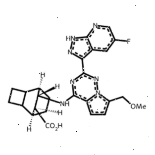 COCc1ccc2c(N[C@@H]3[C@@H](C(=O)O)[C@H]4CC[C@@H]3C3CCC34)nc(-c3n[nH]c4ncc(F)cc34)nn12